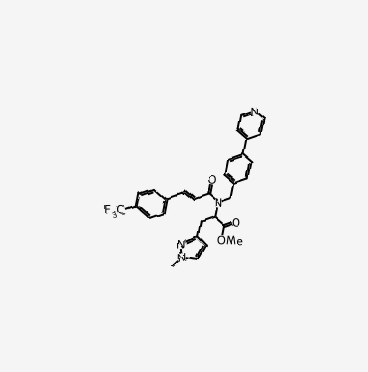 COC(=O)C(Cc1ccn(C)n1)N(Cc1ccc(-c2ccncc2)cc1)C(=O)/C=C/c1ccc(C(F)(F)F)cc1